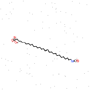 CO[Si](CCCCCCCCCCCCCCCCCCCCCCCCCCCCCN=C=O)(OC)OC